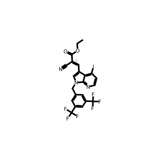 CCOC(=O)/C(C#N)=C/c1cn(Cc2cc(C(F)(F)F)cc(C(F)(F)F)c2)c2nccc(I)c12